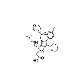 CC(C)CNCc1c(OC(=O)O)sc2c(C3CCCCC3)c(-c3ccc(Cl)cc3)n(CC(=O)N3CCOCC3)c12